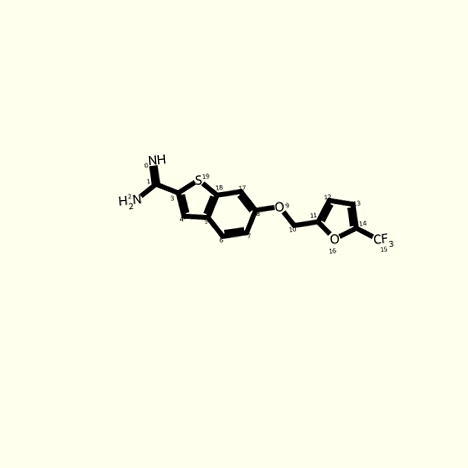 N=C(N)c1cc2ccc(OCc3ccc(C(F)(F)F)o3)cc2s1